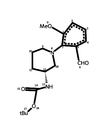 COc1cccc(C=O)c1N1CCC[C@@H](NC(=O)OC(C)(C)C)C1